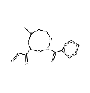 C=C(B1OCCN(C)CC(C(=O)C=O)O1)c1ccccc1